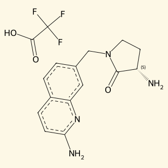 Nc1ccc2ccc(CN3CC[C@H](N)C3=O)cc2n1.O=C(O)C(F)(F)F